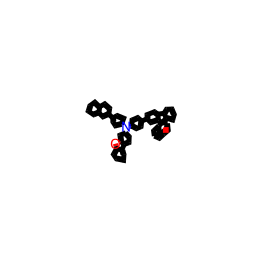 c1ccc2c(c1)-c1ccc(-c3ccc(N(c4ccc(-c5ccc6ccccc6c5)cc4)c4ccc5c(c4)oc4ccccc45)cc3)cc1C21C2CC3CC(C2)CC1C3